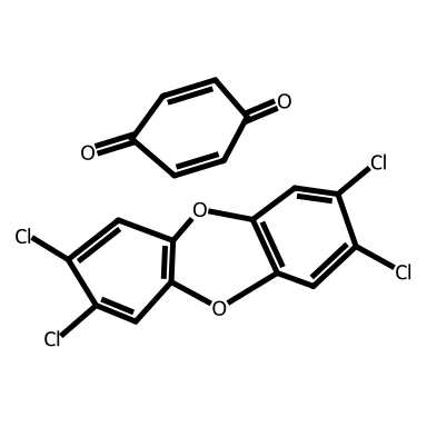 Clc1cc2c(cc1Cl)Oc1cc(Cl)c(Cl)cc1O2.O=C1C=CC(=O)C=C1